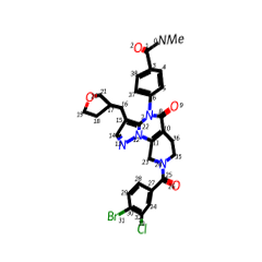 CNC(=O)c1ccc(-n2c(=O)c3c(n4ncc(CC5CCOC5)c24)CN(C(=O)c2ccc(Br)c(Cl)c2)CC3)cc1